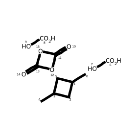 CC1CC(C)C1.O=C(O)O.O=C(O)O.O=C1OC(=O)O1